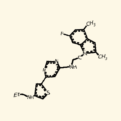 CCNc1csc(-c2cc(NCCn3c(C)cc4c(C)cc(F)cc43)ncn2)c1